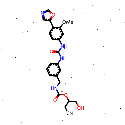 COc1cc(NC(=O)Nc2cccc(CNC(=O)OC(CO)CC#N)c2)ccc1-c1cnco1